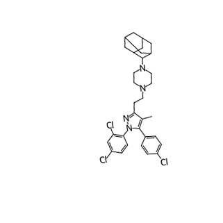 Cc1c(CCN2CCN(C3C4CC5CC(C4)CC3C5)CC2)nn(-c2ccc(Cl)cc2Cl)c1-c1ccc(Cl)cc1